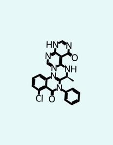 C[C@H](Nc1ncnc2[nH]cnc(=O)c12)c1nc2cccc(Cl)c2c(=O)n1-c1ccccc1